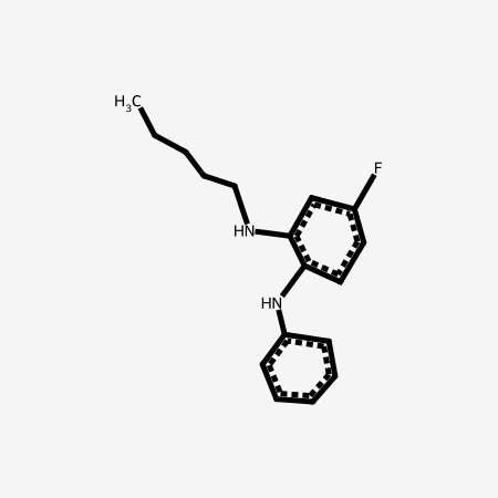 CCCCCNc1cc(F)ccc1Nc1ccccc1